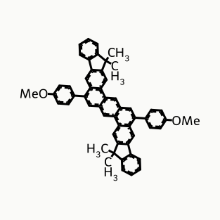 COc1ccc(-c2cc3cc4c(cc(-c5ccc(OC)cc5)c5cc6c(cc54)C(C)(C)c4ccccc4-6)cc3c3cc4c(cc23)-c2ccccc2C4(C)C)cc1